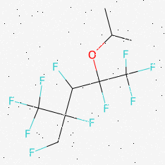 CC(C)OC(F)(C(F)C(F)(CF)C(F)(F)F)C(F)(F)F